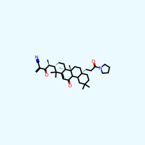 C=C(C#N)C(=O)[C@@H](C)[C@@H]1CC[C@]2(C)C(=CC(=O)C3C4CC(C)(C)CC[C@]4(CCC(=O)N4CCCC4)CC[C@]32C)C1(C)C